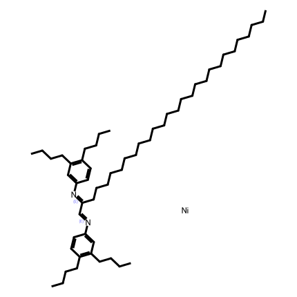 CCCCCCCCCCCCCCCCCCCCCCCCCCC(/C=N/c1ccc(CCCC)c(CCCC)c1)=N\c1ccc(CCCC)c(CCCC)c1.[Ni]